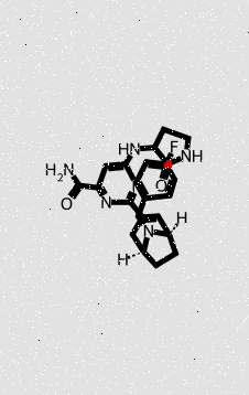 NC(=O)c1cc(NC2CCNC2=O)nc(C2=C[C@H]3CC[C@@H](C2)N3Cc2ccc(F)cc2)n1